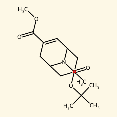 COC(=O)C1=CC2CN(C)CC(C1)N2C(=O)OC(C)(C)C